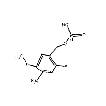 COc1cc(CO[PH](=O)O)c(F)cc1N